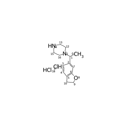 CC(c1ccc2c(c1)OCC2)N1CCNCC1.Cl.Cl